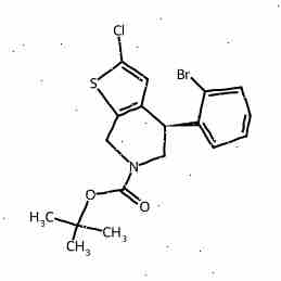 CC(C)(C)OC(=O)N1Cc2sc(Cl)cc2[C@@H](c2ccccc2Br)C1